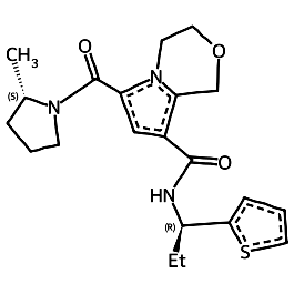 CC[C@@H](NC(=O)c1cc(C(=O)N2CCC[C@@H]2C)n2c1COCC2)c1cccs1